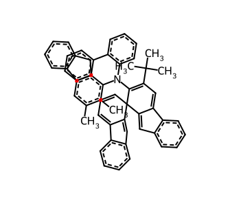 Cc1cc2c(c(N(C3=C(C(C)(C)C)C=C4C(=Cc5ccccc54)C34C=CC=C3C4=Cc4ccccc43)c3ccccc3-c3ccccc3)c1C)Cc1ccccc1-2